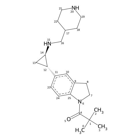 CC(C)(C)C(=O)N1CCc2cc([C@@H]3C[C@H]3NCC3CCNCC3)ccc21